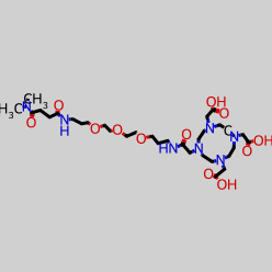 CN(C)C(=O)CCC(=O)NCCCOCCOCCOCCCNC(=O)CN1CCN(CC(=O)O)CCN(CC(=O)O)CCN(CC(=O)O)CC1